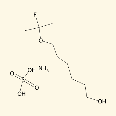 CC(C)(F)OCCCCCCO.N.O=S(=O)(O)O